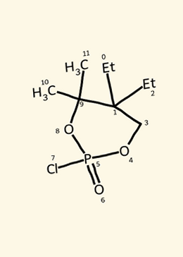 CCC1(CC)COP(=O)(Cl)OC1(C)C